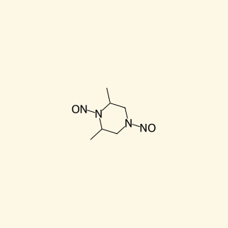 CC1CN(N=O)CC(C)N1N=O